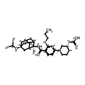 CCCSc1nc(N2CCC[C@@H](CC(=O)O)C2)ccc1C(=O)N[C@H]1C2CC3CC1C[C@@](OC(F)F)(C3)C2